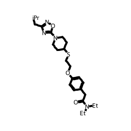 CCN(CC)C(=O)Cc1ccc(OCCSC2CCN(c3nc(CC(C)C)no3)CC2)cc1